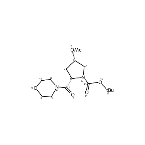 CO[C@H]1C[C@@H](C(=O)N2CCOCC2)N(C(=O)OC(C)(C)C)C1